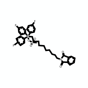 CS(=O)(=O)OP(CCCCCCCCCCN1C(=O)c2ccccc2C1=O)(c1ccc(F)cc1)(c1ccc(F)cc1)c1ccc(F)cc1